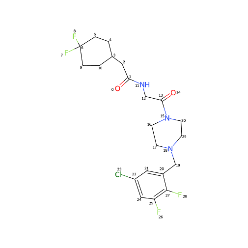 O=C(CC1CCC(F)(F)CC1)NCC(=O)N1CCN(Cc2cc(Cl)cc(F)c2F)CC1